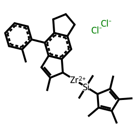 CC1=Cc2c(cc3c(c2-c2ccccc2C)CCC3)[CH]1[Zr+2][Si](C)(C)C1C(C)=C(C)C(C)=C1C.[Cl-].[Cl-]